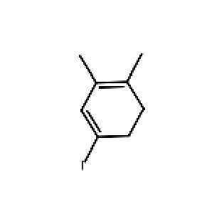 CC1=C(C)CCC(I)=C1